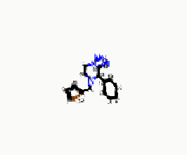 c1csc(CN2CCn3nnnc3C2C2CCCCC2)c1